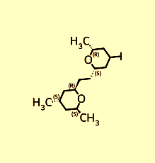 C[C@@H]1C[C@@H](CC[C@H]2CC(I)C[C@@H](C)O2)O[C@@H](C)C1